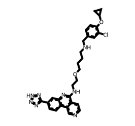 Clc1cc(CNCCCCOCCNc2nc3cc(-c4nn[nH]n4)ccc3c3cnccc23)ccc1OC1CC1